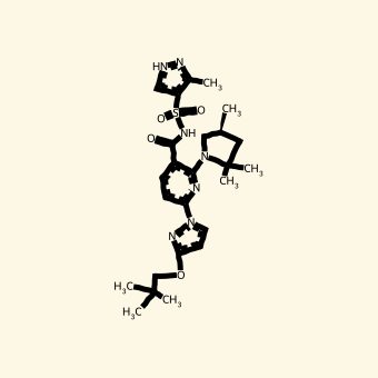 Cc1n[nH]cc1S(=O)(=O)NC(=O)c1ccc(-n2ccc(OCC(C)(C)C)n2)nc1N1C[C@@H](C)CC1(C)C